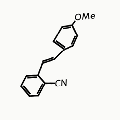 COc1ccc(C=Cc2ccccc2C#N)cc1